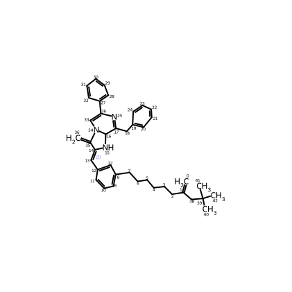 C=C(CCCCCCc1cccc(/C=C2\NC3C(Cc4ccccc4)=NC(c4ccccc4)=CN3C2=C)c1)CC(C)(C)C